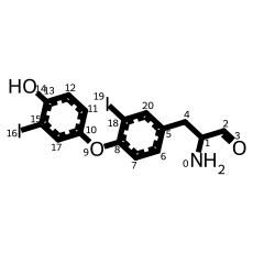 NC(C=O)Cc1ccc(Oc2ccc(O)c(I)c2)c(I)c1